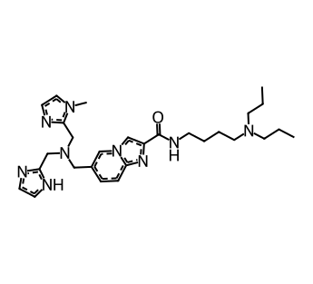 CCCN(CCC)CCCCNC(=O)c1cn2cc(CN(Cc3ncc[nH]3)Cc3nccn3C)ccc2n1